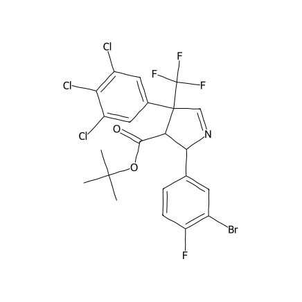 CC(C)(C)OC(=O)C1C(c2ccc(F)c(Br)c2)N=CC1(c1cc(Cl)c(Cl)c(Cl)c1)C(F)(F)F